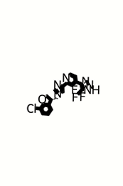 FC(F)(F)c1[nH]nnc1-c1ccnc(-c2cn(C[C@H]3COc4c(Cl)cccc43)cn2)c1